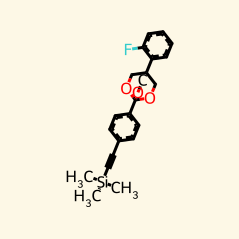 C[Si](C)(C)C#Cc1ccc(C23OCC(c4ccccc4F)(CO2)CO3)cc1